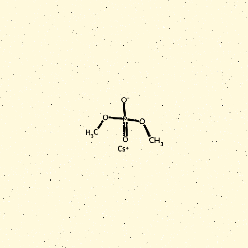 COP(=O)([O-])OC.[Cs+]